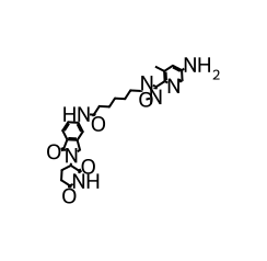 Cc1cc(N)cnc1-c1noc(CCCCCC(=O)Nc2ccc3c(c2)CN(C2CCC(=O)NC2=O)C3=O)n1